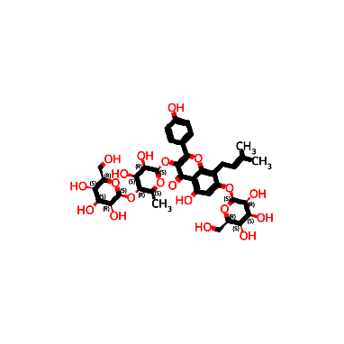 CC(C)=CCc1c(O[C@@H]2O[C@H](CO)[C@@H](O)[C@H](O)[C@H]2O)cc(O)c2c(=O)c(O[C@@H]3O[C@@H](C)[C@H](O[C@@H]4O[C@H](CO)[C@@H](O)[C@H](O)[C@H]4O)[C@@H](O)[C@H]3O)c(-c3ccc(O)cc3)oc12